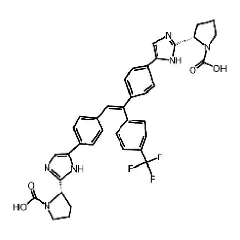 O=C(O)N1CCC[C@H]1c1ncc(-c2ccc(C=C(c3ccc(-c4cnc([C@@H]5CCCN5C(=O)O)[nH]4)cc3)c3ccc(C(F)(F)F)cc3)cc2)[nH]1